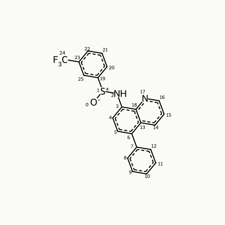 [O-][S+](Nc1ccc(-c2ccccc2)c2cccnc12)c1cccc(C(F)(F)F)c1